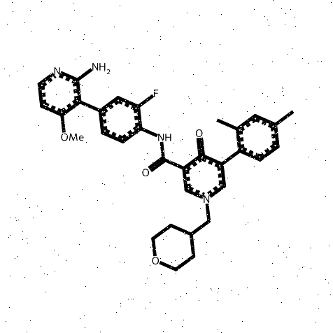 COc1ccnc(N)c1-c1ccc(NC(=O)c2cn(CC3CCOCC3)cc(-c3ccc(C)cc3C)c2=O)c(F)c1